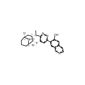 CN(c1ccc(-c2cc3cnccc3cc2O)nn1)[C@H]1C[C@@H]2CCC[C@@H](N2)[C@H]1F